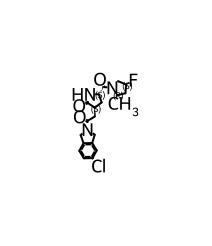 C[C@@H]1C[C@H](F)CN1C(=O)[C@@H]1C[C@@H](CC(=O)N2Cc3ccc(Cl)cc3C2)C(=O)N1